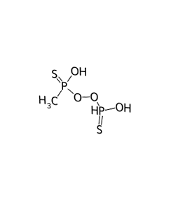 CP(O)(=S)OO[PH](O)=S